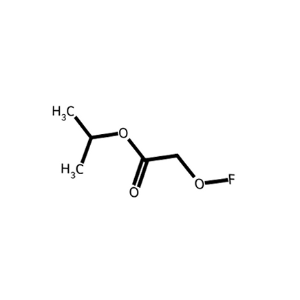 CC(C)OC(=O)COF